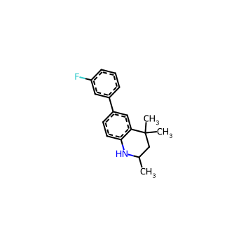 CC1CC(C)(C)c2cc(-c3cccc(F)c3)ccc2N1